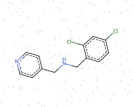 Clc1ccc(CNCc2ccncc2)c(Cl)c1